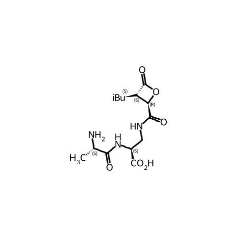 CC[C@H](C)[C@@H]1C(=O)O[C@H]1C(=O)NC[C@H](NC(=O)[C@H](C)N)C(=O)O